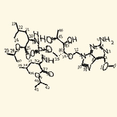 COc1nc(N)nc2c1ncn2CO[C@H](COP(=O)(NC(CC(C)C)C(=O)OC(C)C)NC(CC(C)C)C(=O)OC(C)C)[C@H](O)C(C)O